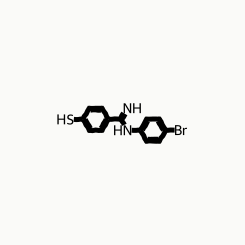 N=C(Nc1ccc(Br)cc1)c1ccc(S)cc1